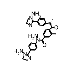 Cc1cc(C(=O)N(N)c2ccc(C3=NCCN3N)cc2)ccc1C(=O)[C@@H](C)c1ccc(C2=NCCN2N)cc1